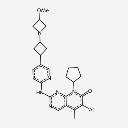 COC1CN(C2CC(c3ccc(Nc4ncc5c(C)c(C(C)=O)c(=O)n(C6CCCC6)c5n4)nc3)C2)C1